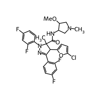 COC1CN(C)CC1NC(=O)C1(C)C(c2ccc(Cl)o2)C(c2ccc(F)cc2F)=NN1c1ccc(F)cc1F